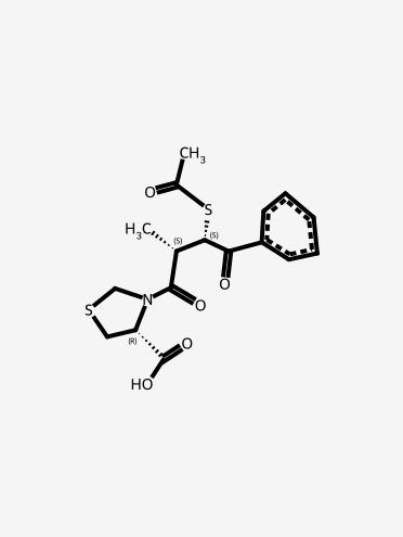 CC(=O)S[C@H](C(=O)c1ccccc1)[C@@H](C)C(=O)N1CSC[C@H]1C(=O)O